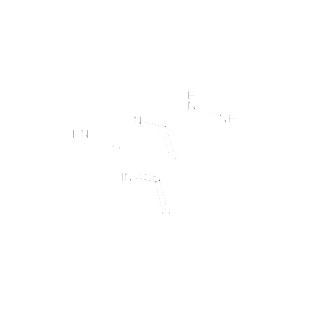 NNc1cc(=O)[nH]c(N)n1